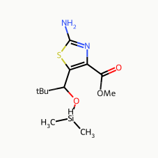 COC(=O)c1nc(N)sc1C(O[SiH](C)C)C(C)(C)C